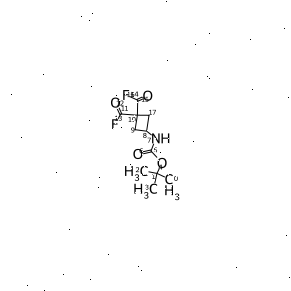 CC(C)(C)OC(=O)NC1CC(C(=O)F)(C(=O)F)C1